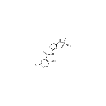 CS(=O)(=O)Nc1csc(NC(=O)c2cc(Br)ccc2O)n1